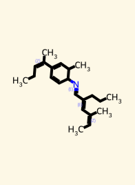 C\C=C(C)/C=C(/C=N/C1C=CC(/C(C)=C\CC)=CC1C)CCC